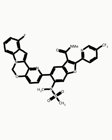 CNC(=O)c1c(-c2ccc(C(F)(F)F)cn2)oc2cc(N(C)S(C)(=O)=O)c(-c3ccc4c(n3)-c3cc5c(F)cccc5n3CO4)cc12